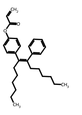 C=CC(=O)Oc1ccc(C(CCCCCC)=C(CCCCCC)c2ccccc2)cc1